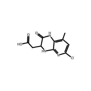 Cc1cc(Cl)nc2c1NC(=O)C(CC(=O)O)N2